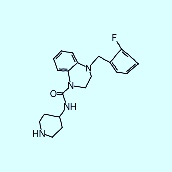 O=C(NC1CCNCC1)N1CCN(Cc2ccccc2F)c2ccccc21